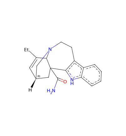 CCC1=C[C@@H]2CN3CCc4c([nH]c5ccccc45)C(C(N)=O)(C2)C13